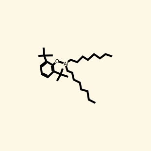 CCCCCCC[CH2][Al]([CH2]CCCCCCC)[O]c1c(C(C)(C)C)cccc1C(C)(C)C